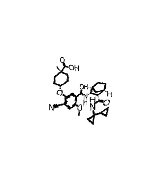 COc1cc(C#N)c(O[C@H]2CC[C@@](C)(C(=O)O)CC2)cc1C(=O)N[C@@H]1[C@H]2CC[C@H](C2)[C@@H]1C(=O)NC1(C2CC2)CC1